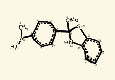 COC1(c2ccc(N(C)C)cc2)Nc2ccccc2S1